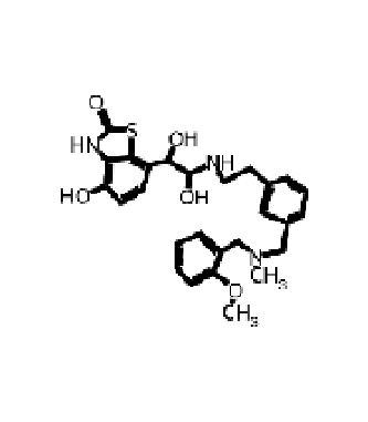 COc1ccccc1CN(C)Cc1cccc(CCNC(O)C(O)c2ccc(O)c3[nH]c(=O)sc23)c1